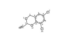 CCCC1OCc2cc(Cl)cc(Cl)c2O1